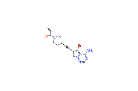 C=CC(=O)N1CCC(C#Cc2cn3ncnc(N)c3c2Br)CC1